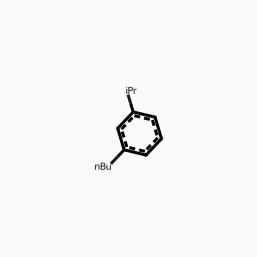 [CH2]C(C)c1cccc(CCCC)c1